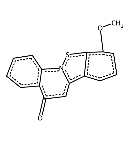 COc1cccc2c1sn1c3ccccc3c(=O)cc21